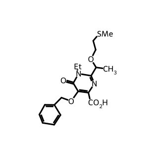 CCn1c(C(C)OCCSC)nc(C(=O)O)c(OCc2ccccc2)c1=O